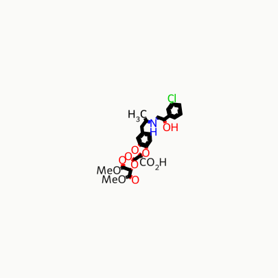 COC(=O)C(OC(=O)C1(C(=O)O)Oc2ccc(CC(C)NCC(O)c3cccc(Cl)c3)cc2O1)C(=O)OC